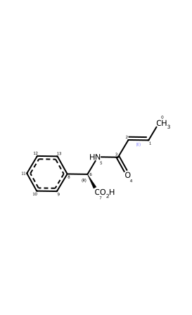 C/C=C/C(=O)N[C@@H](C(=O)O)c1ccccc1